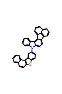 c1cc2c3c(cccc3c1)-c1c-2ccc2c1c1ccccc1n2-c1ccc2sc3ccc4ccccc4c3c2c1